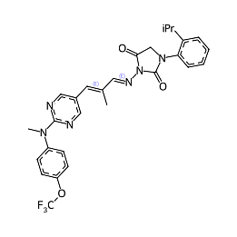 CC(/C=N/N1C(=O)CN(c2ccccc2C(C)C)C1=O)=C\c1cnc(N(C)c2ccc(OC(F)(F)F)cc2)nc1